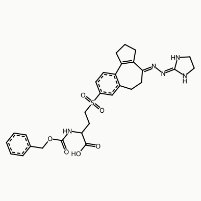 O=C(NC(CCS(=O)(=O)c1ccc2c(c1)CCC(=NN=C1NCCN1)C1=C2CCC1)C(=O)O)OCc1ccccc1